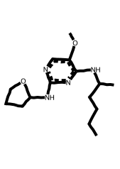 CCCCC(C)Nc1nc(NC2CCCO2)ncc1OC